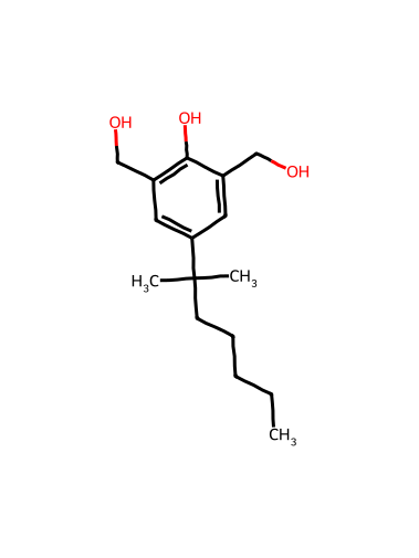 CCCCCC(C)(C)c1cc(CO)c(O)c(CO)c1